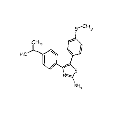 CSc1ccc(-c2sc(N)nc2-c2ccc(C(C)O)cc2)cc1